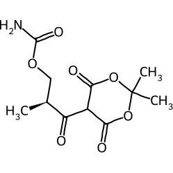 C[C@@H](COC(N)=O)C(=O)C1C(=O)OC(C)(C)OC1=O